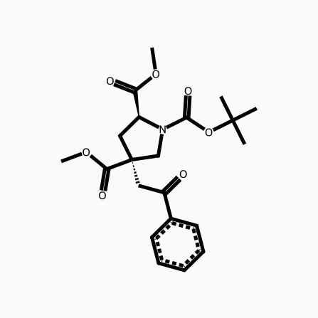 COC(=O)[C@@H]1C[C@](CC(=O)c2ccccc2)(C(=O)OC)CN1C(=O)OC(C)(C)C